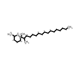 CCCCCCCCCCCCCCCC(C)[Si]1(C)CCCC(C)O1